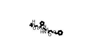 CN(CC(=O)NC(C)(C)C)c1nc(C(=N)SC(C=O)CCOCc2ccccc2)nc2c1CCC2